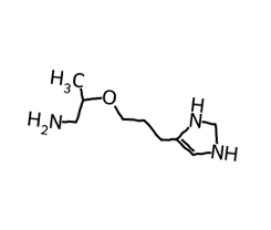 CC(CN)OCCCC1=CNCN1